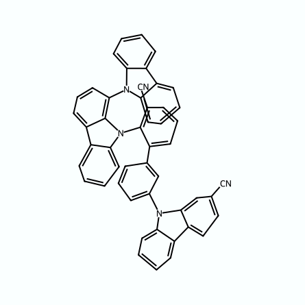 N#Cc1ccc2c3ccccc3n(-c3cccc(-c4cccc(C#N)c4-n4c5ccccc5c5cccc(-n6c7ccccc7c7ccccc76)c54)c3)c2c1